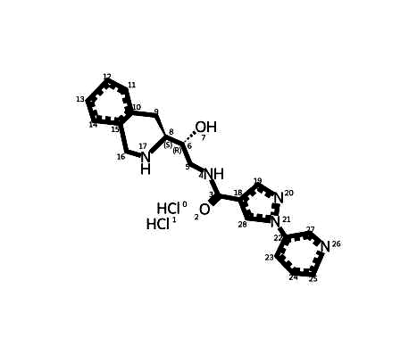 Cl.Cl.O=C(NC[C@@H](O)[C@@H]1Cc2ccccc2CN1)c1cnn(-c2cccnc2)c1